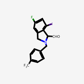 O=CC1c2c(I)cc(F)cc2CN1Cc1ccc(C(F)(F)F)cc1